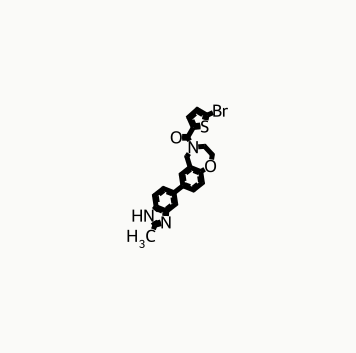 Cc1nc2cc(-c3ccc4c(c3)CN(C(=O)c3ccc(Br)s3)CCO4)ccc2[nH]1